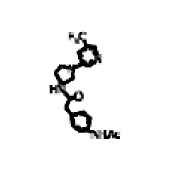 CC(=O)Nc1ccc(CC(=O)N[C@@H]2CCN(c3cncc(C(F)(F)F)c3)C2)cc1